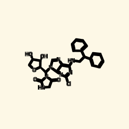 O=C1CNC(=O)N1C([C@H]1OC[C@@H](O)[C@@H]1O)n1cnc2c(NCC(c3ccccc3)c3ccccc3)nc(Cl)nc21